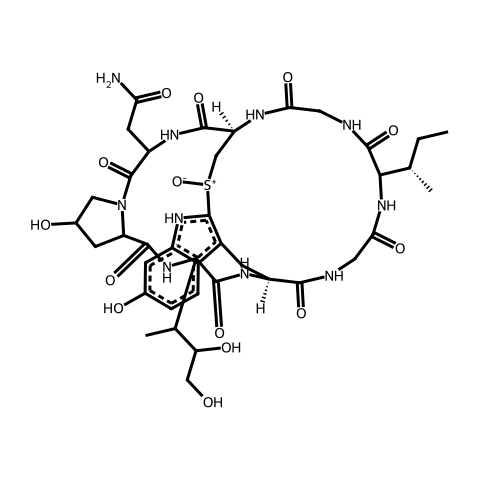 CC[C@H](C)C1NC(=O)CNC(=O)[C@@H]2Cc3c([nH]c4cc(O)ccc34)[S+]([O-])C[C@H](NC(=O)CNC1=O)C(=O)NC(CC(N)=O)C(=O)N1CC(O)CC1C(=O)NC(C(C)C(O)CO)C(=O)N2